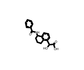 O=C(NC1CCCc2c1cccc2C(O)C(=O)O)c1ccccc1